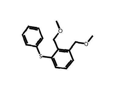 COCc1cccc(Sc2ccccc2)c1COC